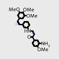 COc1ccc(C(=O)/C=C\Nc2cccc(/C=C\c3cc(OC)c(OC)c(OC)c3)c2)cc1N